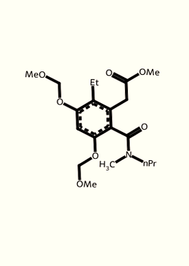 CCCN(C)C(=O)c1c(OCOC)cc(OCOC)c(CC)c1CC(=O)OC